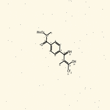 CON(C)C(=O)c1ccc(C(=N)/C(C)=C(\O)C(F)(F)F)cc1